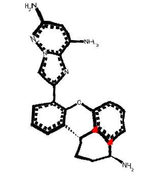 Nc1cc(N)c2nc(-c3cccc([C@H]4CC[C@H](N)CC4)c3Oc3ccccc3)cn2n1